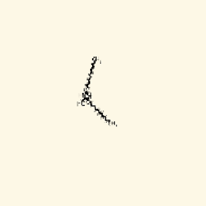 CCCCCCCCCCCCOC(=O)NC(CO)C(=O)OCCCCCCCCCCCC